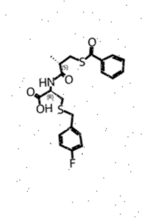 C[C@H](CSC(=O)c1ccccc1)C(=O)N[C@@H](CSCc1ccc(F)cc1)C(=O)O